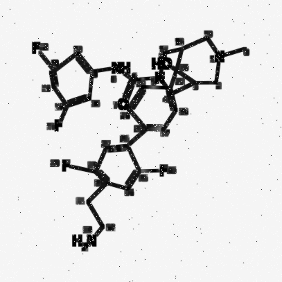 CN1CC2CN(C(=O)Nc3cc(F)cc(F)c3)CC(C1)C2(O)c1ccc(-c2cc(F)c(CCN)cc2F)cc1